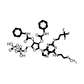 CSCCNc1nc(SCCC(F)(F)F)nc2c1ncn2[C@@H]1O[C@H](COP(=O)(O)OP(=O)(O)O)[C@@H](OC(=O)Nc2ccccc2)[C@H]1OC(=O)Nc1ccccc1